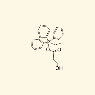 CCP(OC(=O)CCO)(c1ccccc1)(c1ccccc1)c1ccccc1